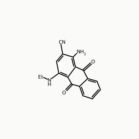 CCNc1cc(C#N)c(N)c2c1C(=O)c1ccccc1C2=O